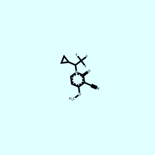 COc1ccn(C(C2CC2)C(F)(F)F)c(=O)c1C#N